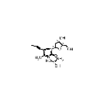 CC#Cc1cn([C@H]2C[C@H](O)[C@@H](CO)O2)c(=O)nc1N.NP(O)O